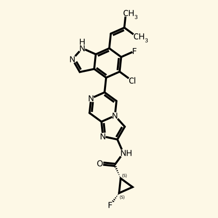 CC(C)=Cc1c(F)c(Cl)c(-c2cn3cc(NC(=O)[C@@H]4C[C@@H]4F)nc3cn2)c2cn[nH]c12